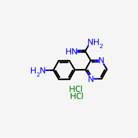 Cl.Cl.N=C(N)c1nccnc1-c1ccc(N)cc1